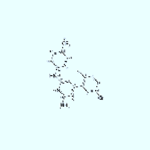 Cc1ccc(Br)cc1-c1cc(Nc2ccc(C(F)(F)F)cc2)nc(N)n1